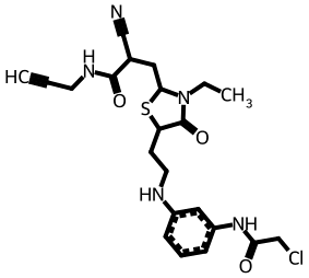 C#CCNC(=O)C(C#N)CC1SC(CCNc2cccc(NC(=O)CCl)c2)C(=O)N1CC